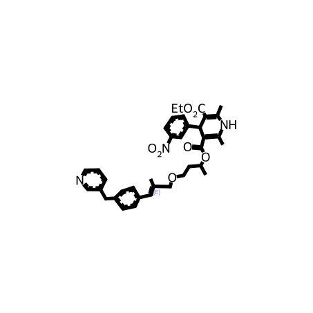 CCOC(=O)C1=C(C)NC(C)=C(C(=O)OC(C)CCOC/C(C)=C/c2ccc(Cc3cccnc3)cc2)C1c1cccc([N+](=O)[O-])c1